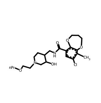 CCCOCCN1CCC(CNC(=O)c2cc(Cl)c(C)c3c2OCCCO3)C(O)C1